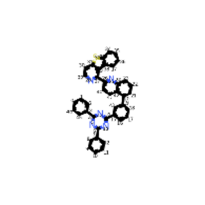 c1ccc(-c2nc(-c3ccccc3)nc(-c3cccc(-c4cccc5nc(-c6nccc7sc8ccccc8c67)ccc45)c3)n2)cc1